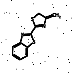 C=C1CSC(c2nc3ccccc3s2)=N1